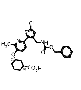 Cc1nc(-c2sc(Cl)cc2CNC(=O)OCc2ccccc2)ccc1O[C@H]1CCC[C@H](C(=O)O)C1